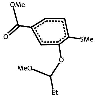 CCC(OC)Oc1cc(C(=O)OC)ccc1SC